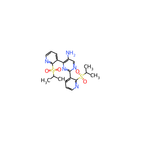 CC(C)S(=O)(=O)c1ncccc1-c1ncc(N)c(-c2cccnc2S(=O)(=O)C(C)C)n1